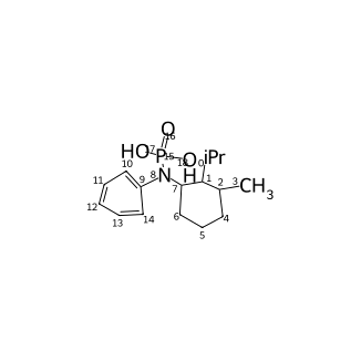 CC(C)C1C(C)CCCC1N(c1ccccc1)P(=O)(O)O